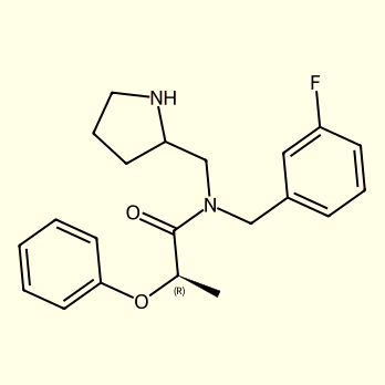 C[C@@H](Oc1ccccc1)C(=O)N(Cc1cccc(F)c1)CC1CCCN1